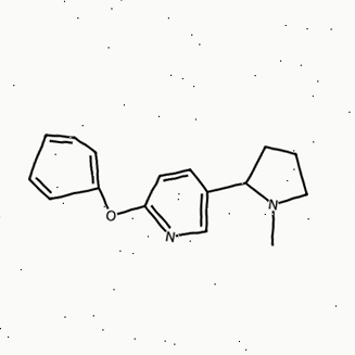 CN1CCCC1c1ccc(Oc2ccccc2)nc1